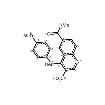 CNC(=O)c1ccc2ncc(C(=O)O)c([AsH]c3ccc(OC)cc3)c2c1